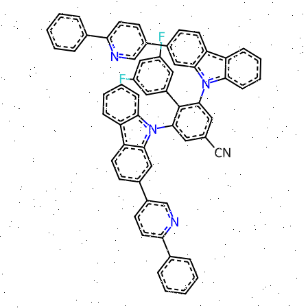 N#Cc1cc(-n2c3ccccc3c3ccc(-c4ccc(-c5ccccc5)nc4)cc32)c(-c2cc(F)cc(F)c2)c(-n2c3ccccc3c3ccc(-c4ccc(-c5ccccc5)nc4)cc32)c1